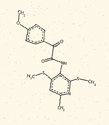 COc1ccc(C(=O)C(=O)Nc2c(SC)cc(C)nc2SC)cc1